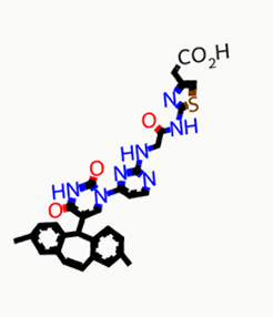 Cc1ccc2c(c1)C=Cc1cc(C)ccc1C2c1cn(-c2ccnc(NCC(=O)Nc3nc(CC(=O)O)cs3)n2)c(=O)[nH]c1=O